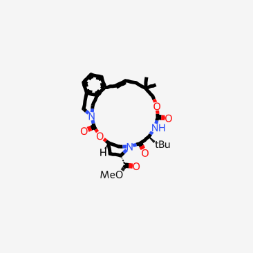 COC(=O)[C@@H]1C[C@@H]2CN1C(=O)[C@H](C(C)(C)C)NC(=O)OCC(C)(C)C/C=C/c1cccc3c1CN(C3)C(=O)O2